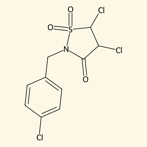 O=C1C(Cl)C(Cl)S(=O)(=O)N1Cc1ccc(Cl)cc1